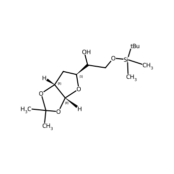 CC1(C)O[C@H]2O[C@H](C(O)CO[Si](C)(C)C(C)(C)C)C[C@H]2O1